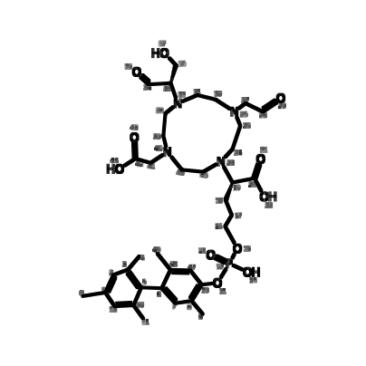 Cc1cc(C)c(-c2cc(C)c(OP(=O)(O)OCCC[C@H](C(=O)O)N3CCN(CC=O)CCN([C@@H](C=O)CO)CCN(CC(=O)O)CC3)cc2C)c(C)c1